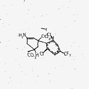 CC1(C(=O)O)CC(N)=CC(C(=O)O)(c2c(Cl)cc(C(F)(F)F)cc2Cl)C1.CI